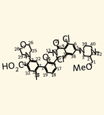 COCC1CN(c2cc(Cl)c(C(=O)N3COc4c(cccc4-c4cc(N5CCOCC5)c(C(=O)O)cc4F)C3)c(Cl)c2)CCN1C